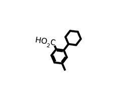 Cc1ccc(C(=O)O)c(C2CCCCC2)c1